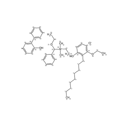 CCCCCCCCCc1c(O)cccc1OCC.CCOC(c1ccccc1)[N+](C)(C)CC.Oc1ccccc1-c1ccccc1.[Cl-]